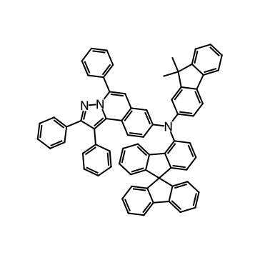 CC1(C)c2ccccc2-c2ccc(N(c3ccc4c(c3)cc(-c3ccccc3)n3nc(-c5ccccc5)c(-c5ccccc5)c43)c3cccc4c3-c3ccccc3C43c4ccccc4-c4ccccc43)cc21